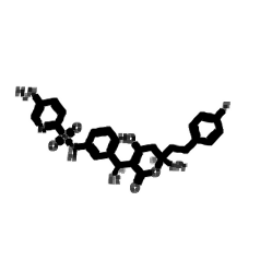 CCC[C@]1(CCc2ccc(F)cc2)CC(O)=C([C@@H](CC)c2cccc(NS(=O)(=O)c3ccc(N)cn3)c2)C(=O)O1